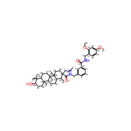 CCCC1(C(=O)NCc2cccc(C(=O)NCc3ccc(OC)cc3OC)c2)CC[C@]2(C)C(CCC3C4(C)CCC(O)C(C)(C)C4CCC32C)C1C